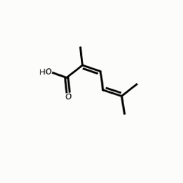 CC(C)=CC=C(C)C(=O)O